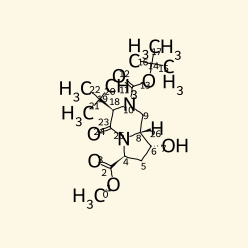 COC(=O)[C@@H]1C[C@@H](O)[C@H]2CN(C(=O)OC(C)(C)C)[C@H](C(C)(C)C)C(=O)N21